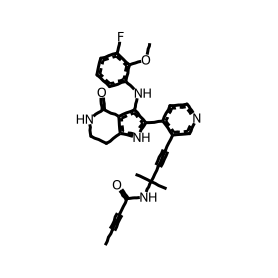 CC#CC(=O)NC(C)(C)C#Cc1cnccc1-c1[nH]c2c(c1Nc1cccc(F)c1OC)C(=O)NCC2